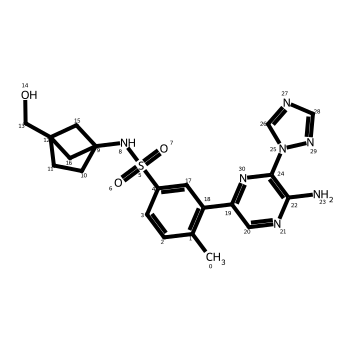 Cc1ccc(S(=O)(=O)NC23CCC(CO)(C2)C3)cc1-c1cnc(N)c(-n2cncn2)n1